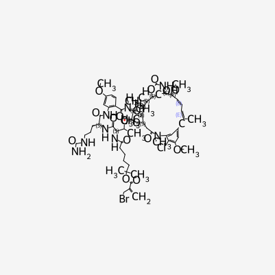 C=C(CBr)C(=O)OC(C)(C)CCCCC(=O)N[C@H](C(=O)N[C@@H](CCCNC(N)=O)C(=O)Nc1cc(OC)ccc1C(=O)N(C)[C@@H](C)C(=O)O[C@H]1CC(=O)N(C)c2cc(cc(OC)c2Cl)C/C(C)=C/C=C/[C@@H](OC)[C@@]2(O)C[C@H](OC(=O)N2)[C@@H](C)[C@@H]2O[C@@]12C)C(C)C